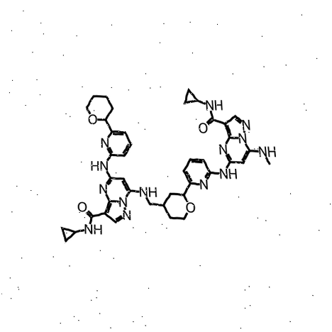 CNc1cc(Nc2cccc(C3CC(CNc4cc(Nc5cccc(C6CCCCO6)n5)nc5c(C(=O)NC6CC6)cnn45)CCO3)n2)nc2c(C(=O)NC3CC3)cnn12